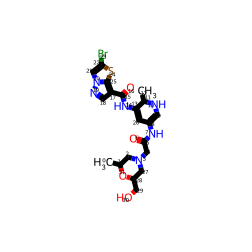 CC1CN(CC(=O)NC2=CNC(C)C(NC(=O)c3cnn4cc(Br)sc34)=C2)CC(CO)O1